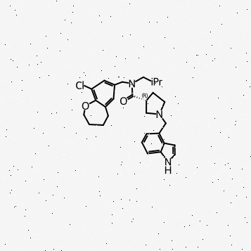 CC(C)CN(Cc1cc(Cl)c2c(c1)CCCCO2)C(=O)[C@@H]1CCN(Cc2cccc3[nH]ccc23)C1